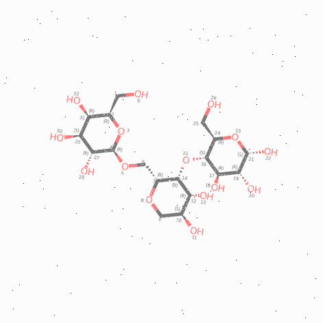 OC[C@H]1O[C@@H](OC[C@H]2OC[C@H](O)[C@@H](O)[C@H]2O[C@H]2[C@H](O)[C@@H](O)[C@@H](O)O[C@@H]2CO)[C@H](O)[C@@H](O)[C@H]1O